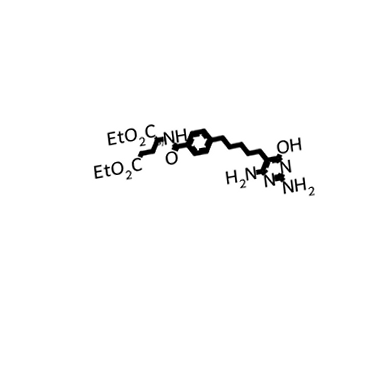 CCOC(=O)CC[C@H](NC(=O)c1ccc(CCCCCc2c(N)nc(N)nc2O)cc1)C(=O)OCC